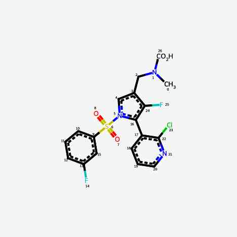 CN(Cc1cn(S(=O)(=O)c2cccc(F)c2)c(-c2cccnc2Cl)c1F)C(=O)O